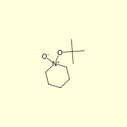 CC(C)(C)O[N+]1([O-])CCCCC1